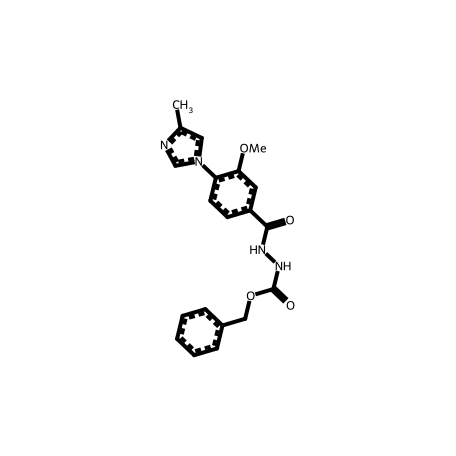 COc1cc(C(=O)NNC(=O)OCc2ccccc2)ccc1-n1cnc(C)c1